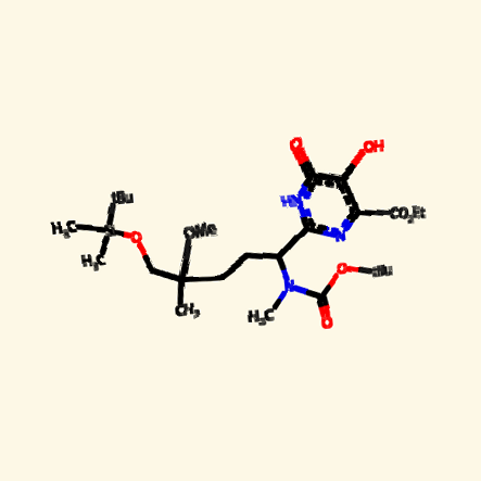 CCOC(=O)c1nc(C(CCC(C)(CO[Si](C)(C)C(C)(C)C)OC)N(C)C(=O)OC(C)(C)C)[nH]c(=O)c1O